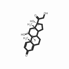 C[C@]12C=CC(=O)C=C1CCC1C3CC[C@](O)(C(=O)CO)[C@@]3(C)C[C@H](O)[C@@]12F